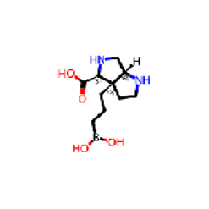 O=C(O)[C@H]1NC[C@@H]2NCC[C@@]21CCCB(O)O